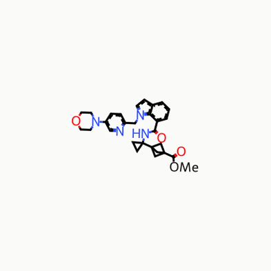 COC(=O)C12CC(C3(NC(=O)c4cccc5ccn(Cc6ccc(N7CCOCC7)cn6)c45)CC3)(C1)C2